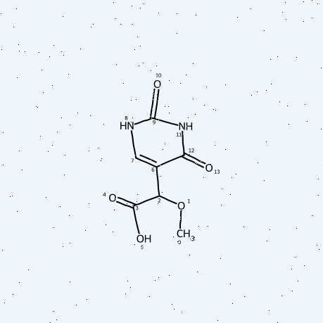 COC(C(=O)O)c1c[nH]c(=O)[nH]c1=O